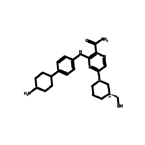 NC(=O)c1ncc(N2CCC[C@@H](CO)C2)nc1Nc1ccc(C2CCC(N)CC2)cc1